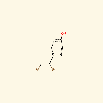 Oc1ccc(C(Br)CBr)cc1